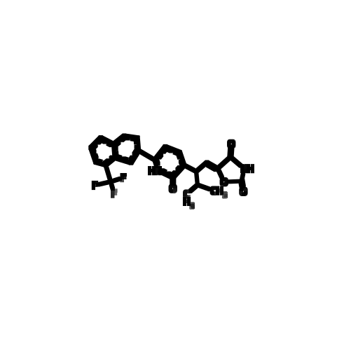 CC(C)C(/C=C1\OC(=O)NC1=O)c1ccc(-c2ccc3cccc(C(F)(F)F)c3c2)[nH]c1=O